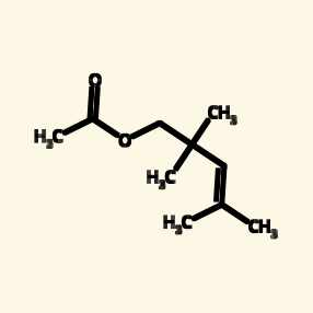 CC(=O)OCC(C)(C)C=C(C)C